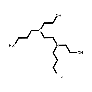 CCCCN(CCO)CCN(CCO)CCCC